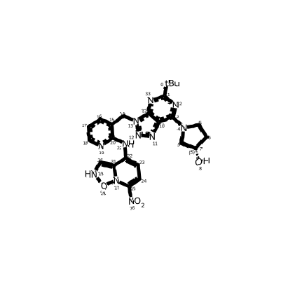 CC(C)(C)c1nc(N2CC[C@H](O)C2)c2nnn(Cc3cccnc3NC3=CC=C([N+](=O)[O-])N4ONC=C34)c2n1